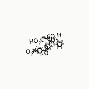 CN(CCc1ccccc1)C1CCN(C(=O)c2ccc([N+](=O)[O-])cc2)CC1.O=C(O)/C=C/C(=O)O